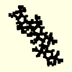 Nc1cc(S(=O)(=O)O)c(N=Nc2c(S(=O)(=O)O)cc3cc(S(=O)(=O)O)c(N=Nc4cc(S(=O)(=O)O)c(N)cc4S(=O)(=O)O)c(O)c3c2N)cc1S(=O)(=O)O